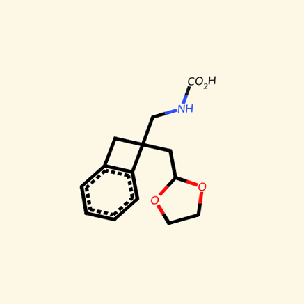 O=C(O)NCC1(CC2OCCO2)Cc2ccccc21